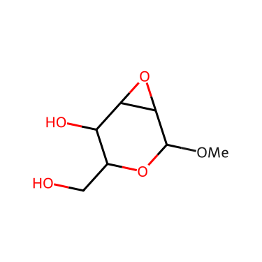 COC1OC(CO)C(O)C2OC12